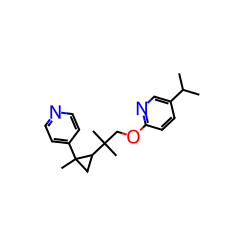 CC(C)c1ccc(OCC(C)(C)C2CC2(C)c2ccncc2)nc1